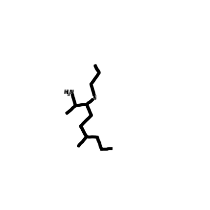 CCCSC(CCC(C)CCC)C(C)N